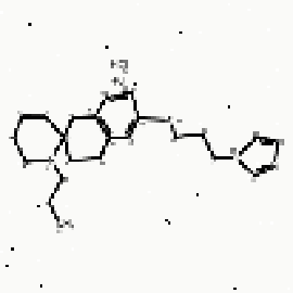 CCCN1CCCCC12CCc1cc(OCCCn3ccnc3)ccc1C2.Cl.Cl